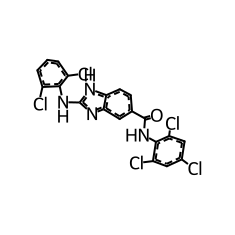 O=C(Nc1c(Cl)cc(Cl)cc1Cl)c1ccc2[nH]c(Nc3c(Cl)cccc3Cl)nc2c1